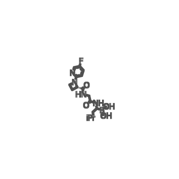 CC(C)CC(NC(=O)CNC(=O)[C@@H]1CCN1c1ccc(F)cn1)B(O)O